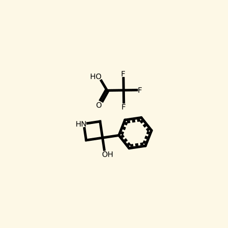 O=C(O)C(F)(F)F.OC1(c2ccccc2)CNC1